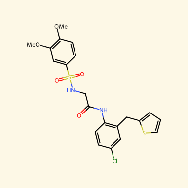 COc1ccc(S(=O)(=O)NCC(=O)Nc2ccc(Cl)cc2Cc2cccs2)cc1OC